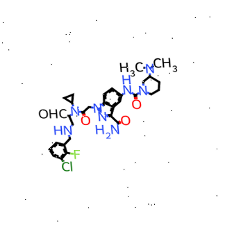 CN(C)C1CCCN(C(=O)Nc2ccc3c(c2)c(C(N)=O)nn3CC(=O)N(C(C=O)CNCc2cccc(Cl)c2F)C2CC2)C1